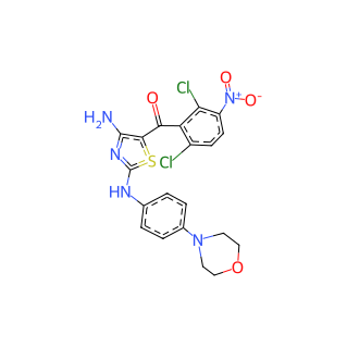 Nc1nc(Nc2ccc(N3CCOCC3)cc2)sc1C(=O)c1c(Cl)ccc([N+](=O)[O-])c1Cl